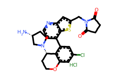 Cl.N[C@@H]1CCN([C@H]2CCOc3cc(Cl)cc(-c4ccnc5cc(CN6C(=O)CCC6=O)sc45)c32)C1